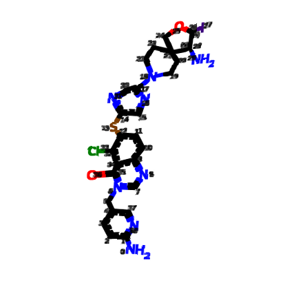 Nc1ccc(Cn2cnc3ccc(Sc4cnc(N5CCC6(CC5)CO[C@@H](I)[C@H]6N)cn4)c(Cl)c3c2=O)cn1